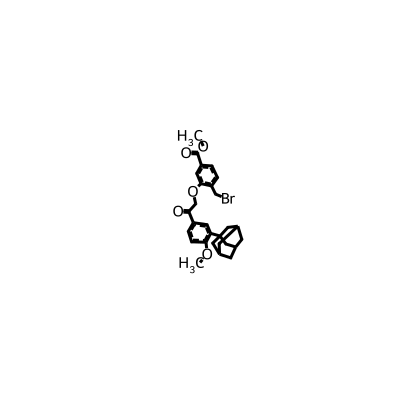 COC(=O)c1ccc(CBr)c(OCC(=O)c2ccc(OC)c(C34CC5CC(CC(C5)C3)C4)c2)c1